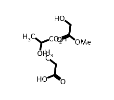 CC(O)C(=O)O.CCC(=O)O.COC(=O)CO